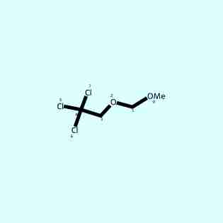 COCOCC(Cl)(Cl)Cl